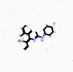 C=C/C(=C(\N=C(/C)N[C@H]1CC[C@H](C)CC1)C(=C)/C(C)=C\C)C(C)(C)C